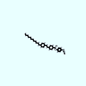 CCCCCCCCCCCCC1CCC(CCC2CCC(C(=O)Oc3ccc(N=C=S)cc3)CC2)CC1